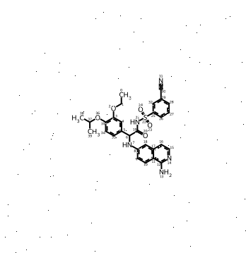 CCOc1cc(C(Nc2ccc3c(N)nccc3c2)C(=O)NS(=O)(=O)c2cccc(C#N)c2)ccc1OC(C)C